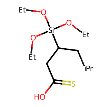 CCO[Si](OCC)(OCC)C(CC(O)=S)CC(C)C